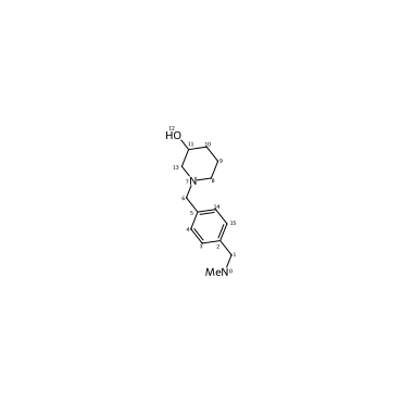 CNCc1ccc(CN2CCCC(O)C2)cc1